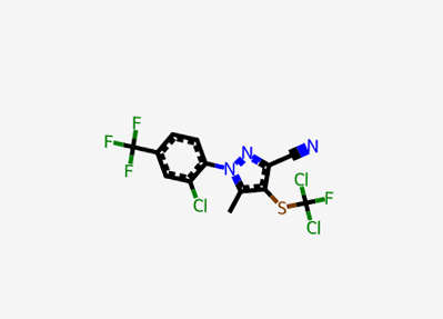 Cc1c(SC(F)(Cl)Cl)c(C#N)nn1-c1ccc(C(F)(F)F)cc1Cl